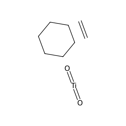 C1CCCCC1.C=C.[O]=[Ti]=[O]